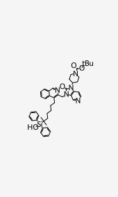 CC(C)(C)OC(=O)N1CCC(n2c(=O)n(Cc3ncc4ccccc4c3CCCCCC(C)(C)[Si](O)(c3ccccc3)c3ccccc3)c3cnccc32)CC1